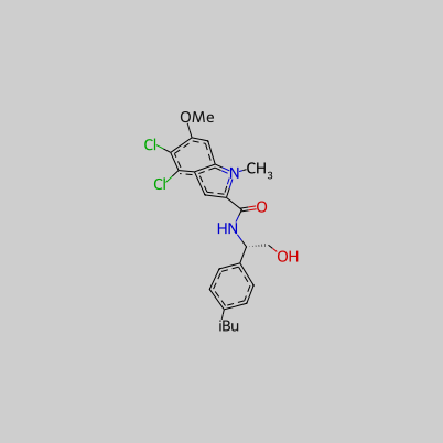 CCC(C)c1ccc([C@@H](CO)NC(=O)c2cc3c(Cl)c(Cl)c(OC)cc3n2C)cc1